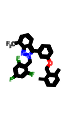 Cc1cccc(C)c1COc1cccc(-c2c3cccc(C(F)(F)F)c3nn2Cc2c(F)cc(F)cc2F)c1